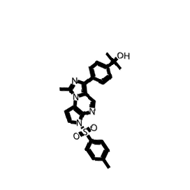 Cc1ccc(S(=O)(=O)n2ccc3c2ncc2c(-c4ccc(C(C)(C)O)cc4)nc(C)n23)cc1